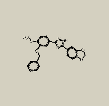 COc1ccc(-c2n[nH]c(-c3ccc4c(c3)OCO4)n2)cc1OCc1ccccc1